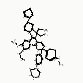 CCC1(CC)c2cc(-c3ccccc3)ccc2-c2c1c1c(c3cc(OC)c(OC)cc23)OC(C2=CC=C(OC)CC2)(c2ccc(N3CCOCC3)cc2)C=C1